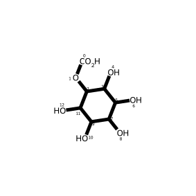 O=C(O)OC1C(O)C(O)C(O)C(O)C1O